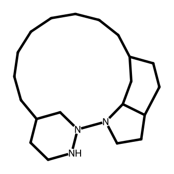 C1CCCCC2CCNN(C2)N2CCC3CCC(CCC1)CC32